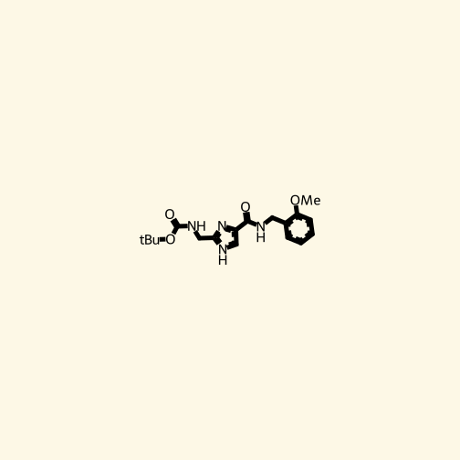 COc1ccccc1CNC(=O)c1c[nH]c(CNC(=O)OC(C)(C)C)n1